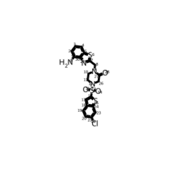 Nc1cccc2sc(CN3CCN(S(=O)(=O)c4cc5ccc(Cl)cc5s4)CC3=O)nc12